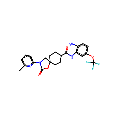 Cc1cccc(N2CC3(CCC(C(=O)Nc4cc(OC(F)(F)F)ccc4N)CC3)OC2=O)n1